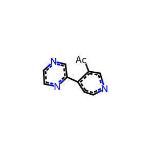 CC(=O)c1cnccc1-c1cnccn1